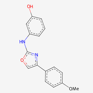 COc1ccc(-c2coc(Nc3cccc(O)c3)n2)cc1